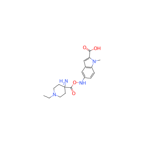 CCN1CCC(N)(C(=O)ONc2ccc3c(c2)cc(C(=O)O)n3C)CC1